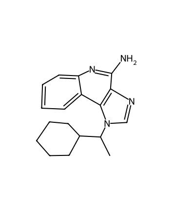 CC(C1CCCCC1)n1cnc2c(N)nc3ccccc3c21